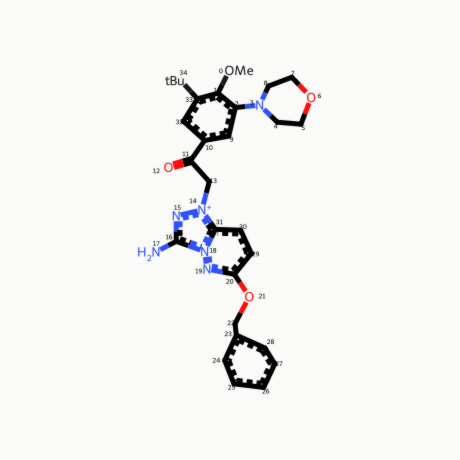 COc1c(N2CCOCC2)cc(C(=O)C[n+]2nc(N)n3nc(OCc4ccccc4)ccc32)cc1C(C)(C)C